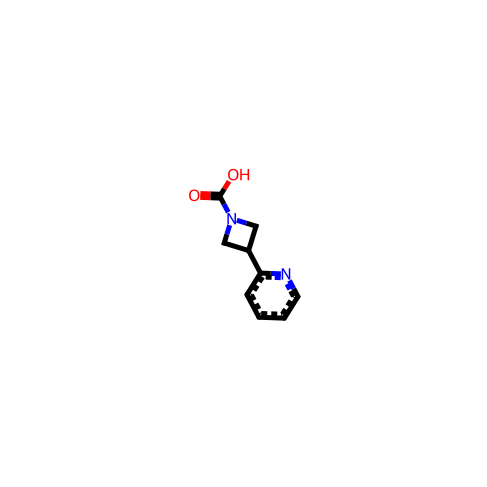 O=C(O)N1CC(c2ccccn2)C1